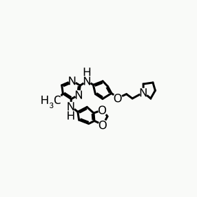 Cc1cnc(Nc2ccc(OCCN3CCCC3)cc2)nc1Nc1ccc2c(c1)OCO2